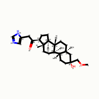 COC[C@@]1(O)CC[C@H]2[C@@H](CC[C@@H]3[C@@H]2CC[C@]2(C)[C@@H](C(=O)Cc4cnc[nH]4)CC[C@@H]32)C1